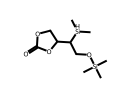 C[SiH](C)C(CO[Si](C)(C)C)C1COC(=O)O1